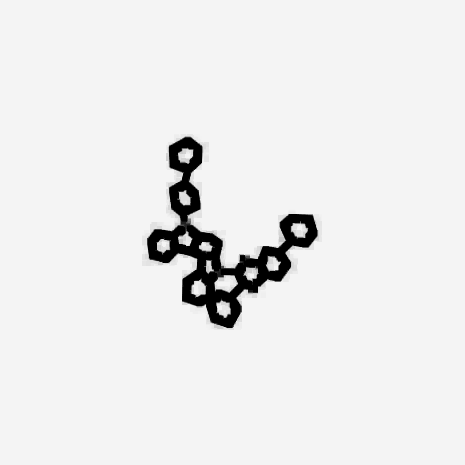 c1ccc(-c2ccc(-n3c4ccccc4c4c5c6ccccc6n(-c6nc7cc(-c8ccccc8)ccc7nc6-c6ccccc6)c5ccc43)cc2)cc1